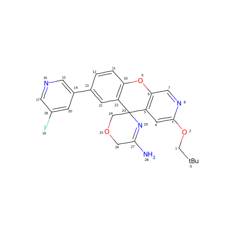 CC(C)(C)COc1cc2c(cn1)Oc1ccc(-c3cncc(F)c3)cc1C21COCC(N)=N1